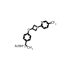 CC(=O)N[C@@H](C)c1ccc(OC2CN(c3ccc(C(F)(F)F)cn3)C2)cc1